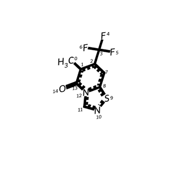 Cc1c(C(F)(F)F)cc2sncn2c1=O